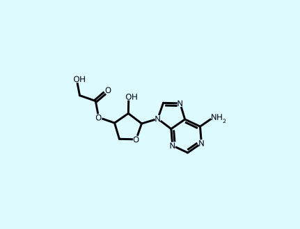 Nc1ncnc2c1ncn2C1OCC(OC(=O)CO)C1O